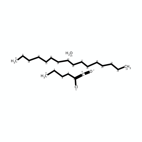 CCCCC(Cl)=C=O.CCCCCCCCCCCCCCCC.O